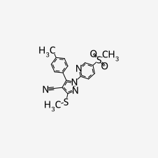 CSc1nn(-c2ccc(S(C)(=O)=O)cn2)c(-c2ccc(C)cc2)c1C#N